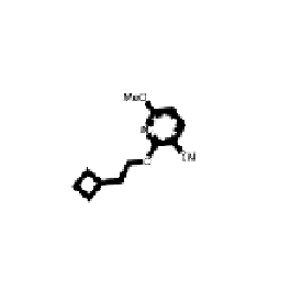 COc1ccc(C#N)c(OCCC2CCC2)n1